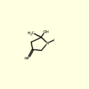 CC1(O)CC(=P)CN1I